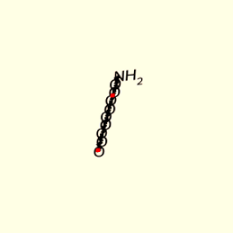 NCCOCCOCCOCCOCCOCCOCCOCCOCCC=O